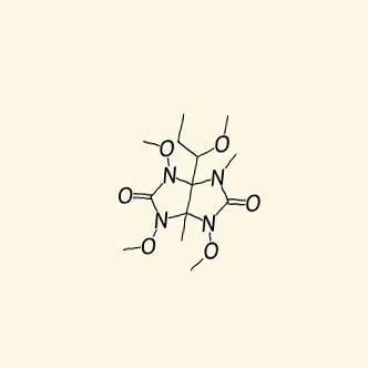 CCC(OC)C12N(C)C(=O)N(OC)C1(C)N(OC)C(=O)N2OC